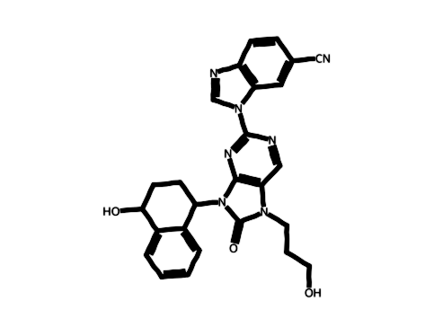 N#Cc1ccc2ncn(-c3ncc4c(n3)n(C3CCC(O)c5ccccc53)c(=O)n4CCCO)c2c1